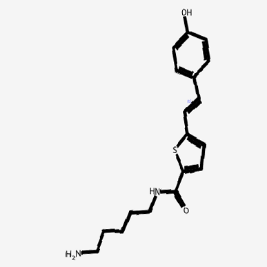 NCCCCCNC(=O)c1ccc(/C=C/c2ccc(O)cc2)s1